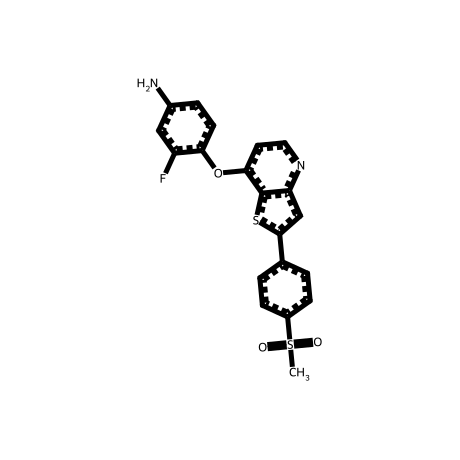 CS(=O)(=O)c1ccc(-c2cc3nccc(Oc4ccc(N)cc4F)c3s2)cc1